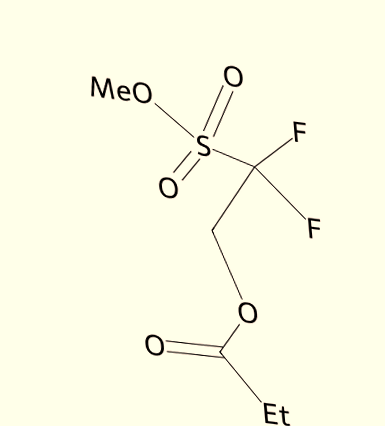 CCC(=O)OCC(F)(F)S(=O)(=O)OC